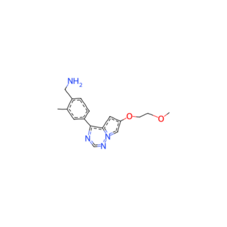 COCCOc1cc2c(-c3ccc(CN)c(C)c3)ncnn2c1